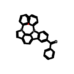 O=C(c1ccccc1)c1ccc2c(c1)c1ccc3ccn(-c4ccccc4)c3c1n2-c1ccccc1